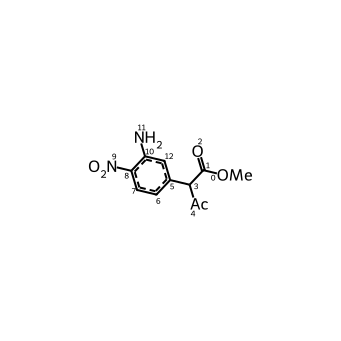 COC(=O)C(C(C)=O)c1ccc([N+](=O)[O-])c(N)c1